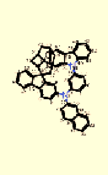 c1cc(N(c2ccc3c(c2)C2(c4ccccc4-3)C3CC4CC5CC2C5(C4)C3)c2ccc3ccccc3c2)cc(-n2c3ccccc3c3ccccc32)c1